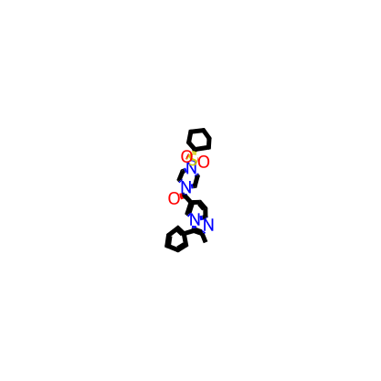 Cc1nc2ccc(C(=O)N3CCN(S(=O)(=O)C4CCCCC4)CC3)cn2c1-c1ccccc1